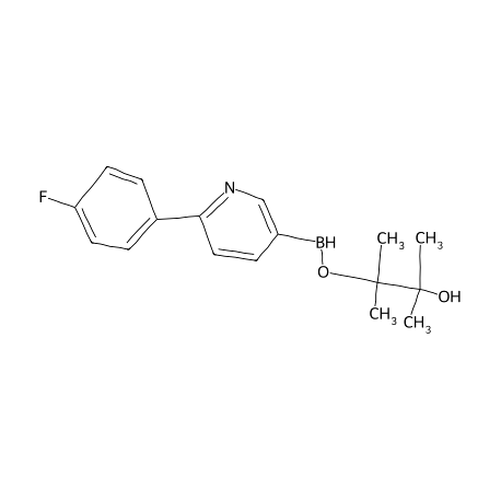 CC(C)(O)C(C)(C)OBc1ccc(-c2ccc(F)cc2)nc1